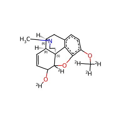 [2H]OC1C=C[C@H]2[C@H]3Cc4ccc(OC([2H])([2H])[2H])c5c4[C@@]2(CCN3C)C1([2H])O5